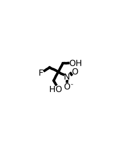 O=[N+]([O-])C(CO)(CO)CF